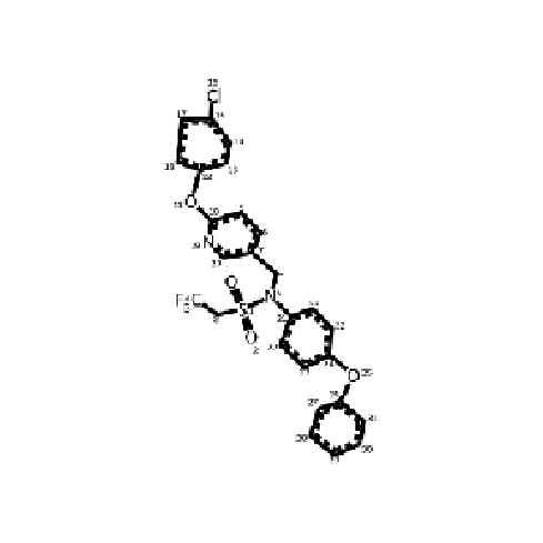 O=S(=O)(CC(F)(F)F)N(Cc1ccc(Oc2ccc(Cl)cc2)nc1)c1ccc(Oc2ccccc2)cc1